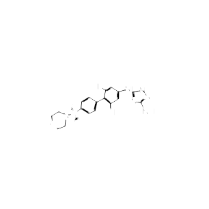 Nc1n[nH]c(Nc2cc(F)c(-c3ccc(S(=O)(=O)N4CCOCC4)cc3)c(C(F)(F)F)c2)n1